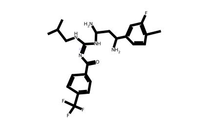 Cc1ccc(C(N)CC(N)N/C(=N\C(=O)c2ccc(C(F)(F)F)cc2)NCC(C)C)cc1F